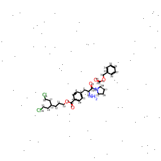 N[C@@H](Cc1ccc(C(=O)OCCCC(CCCl)CCCl)cc1)C(=O)N1CCC[C@H]1C(=O)OCc1ccccc1